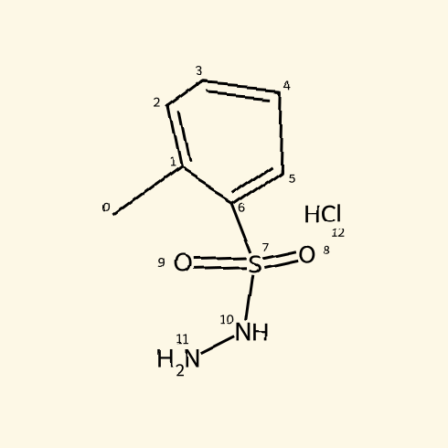 Cc1ccccc1S(=O)(=O)NN.Cl